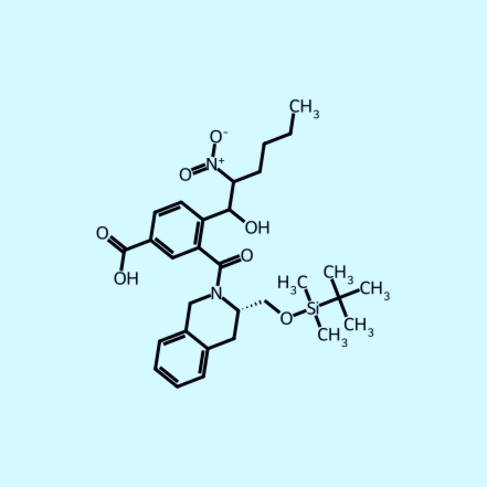 CCCCC(C(O)c1ccc(C(=O)O)cc1C(=O)N1Cc2ccccc2C[C@H]1CO[Si](C)(C)C(C)(C)C)[N+](=O)[O-]